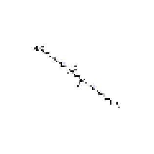 CCCCCC/C=C/COC(=O)CCC(=O)OC/C=C/CCCCCC